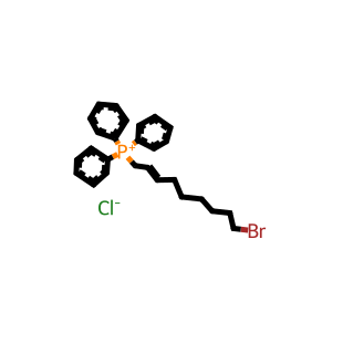 BrCCCCCCC=CC[P+](c1ccccc1)(c1ccccc1)c1ccccc1.[Cl-]